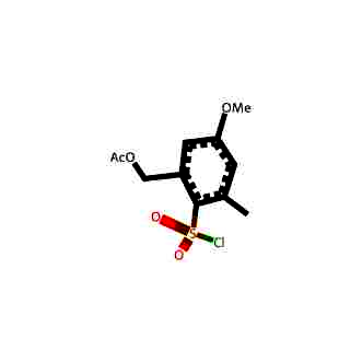 COc1cc(C)c(S(=O)(=O)Cl)c(COC(C)=O)c1